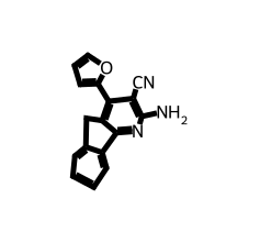 N#Cc1c(N)nc2c(c1-c1ccco1)Cc1ccccc1-2